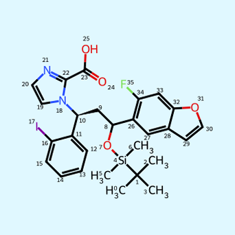 CC(C)(C)[Si](C)(C)OC(C[C@@H](c1ccccc1I)n1ccnc1C(=O)O)c1cc2ccoc2cc1F